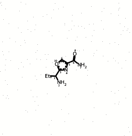 CCC(N)c1nc(C(N)=O)co1